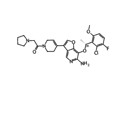 COc1ccc(F)c(Cl)c1[C@@H](C)Oc1c(N)ncc2c(C3=CCN(C(=O)CN4CCCC4)CC3)coc12